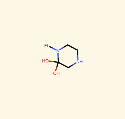 CCN1CCNCC1(O)O